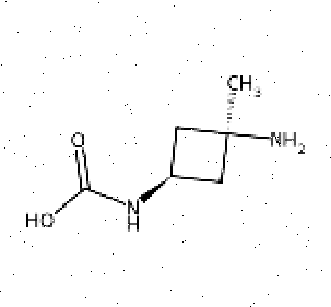 C[C@]1(N)C[C@@H](NC(=O)O)C1